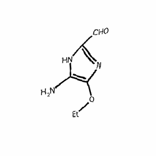 CCOc1nc(C=O)[nH]c1N